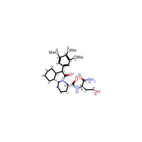 COc1cc(C(C(=O)N2CCCC[C@H]2C(=O)N[C@H](CCO)C(N)=O)C2CCCCC2)cc(OC)c1OC